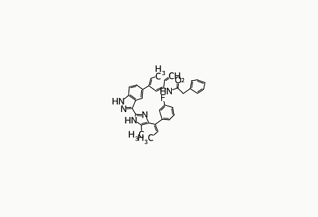 C=C/C(=C\C(=C/C)c1ccc2[nH]nc(-c3nc(/C(=C\C)c4cccc(F)c4)c(C)[nH]3)c2c1)NC(=O)Cc1ccccc1